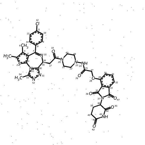 Cc1sc2c(c1C)C(c1ccc(Cl)cc1)=N[C@@H](CC(=O)N1CCN(NC(=O)COc3cccc4c3C(=O)N(C3CCC(=O)NC3=O)C4=O)CC1)c1nnc(C)n1-2